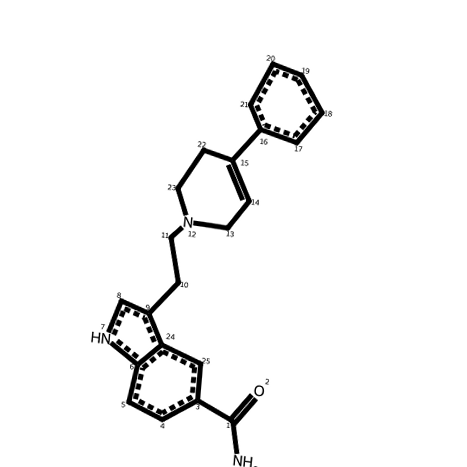 NC(=O)c1ccc2[nH]cc(CCN3CC=C(c4ccccc4)CC3)c2c1